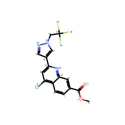 COC(=O)c1ccc2c(Cl)cc(-c3cnn(CC(F)(F)F)c3)nc2c1